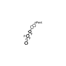 CCCCCC1CCC2CC(c3ccc(-c4cc(F)c(OCc5ccccc5)c(F)c4)c(F)c3)CCC2C1